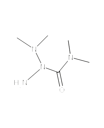 CN(C)C(=O)N(N)N(C)C